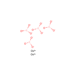 [O-]B([O-])[O-].[O-]B([O-])[O-].[O-]B([O-])[O-].[O-]B([O-])[O-].[Os+6].[Os+6]